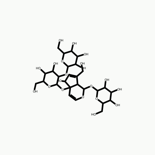 OCC1=CC(O)C2(OC3OC(CO)C(O)C(O)C3OC3OC(CO)C(O)C(O)C3O)C=COC(OC3OC(CO)C(O)C(O)C3O)C12